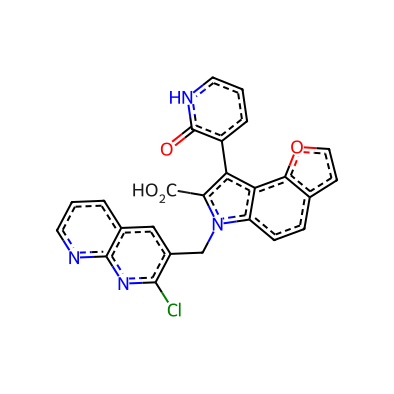 O=C(O)c1c(-c2ccc[nH]c2=O)c2c3occc3ccc2n1Cc1cc2cccnc2nc1Cl